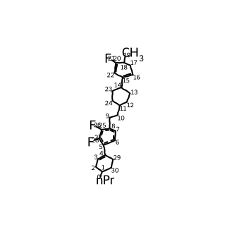 CCCC1CC=C(c2ccc(CCC3CCC(C4=CCC(C)C(F)=C4)CC3)c(F)c2F)CC1